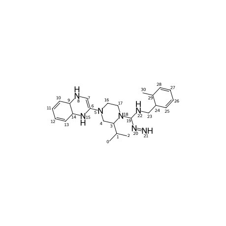 CC(C)C1CN(C2=CNC3C=CC=CC3N2)CCN1C(N=N)NCC1C=CC=CC1C